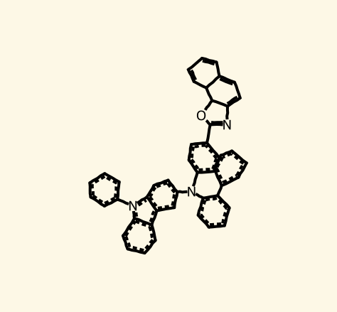 C1=CC2=CC=C3N=C(c4ccc(N(c5ccc6c(c5)c5ccccc5n6-c5ccccc5)c5ccccc5-c5ccccc5)cc4)OC3C2C=C1